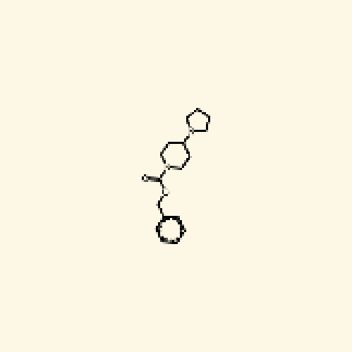 O=C(OCc1ccccc1)N1CCC(N2CCCC2)CC1